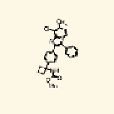 Cc1ccn2c(-c3ccccc3)c(-c3ccc(C4(NC(=O)OC(C)(C)C)CCC4)cc3)nc2c1Cl